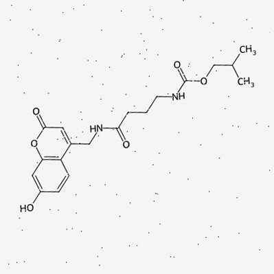 CC(C)COC(=O)NCCCC(=O)NCc1cc(=O)oc2cc(O)ccc12